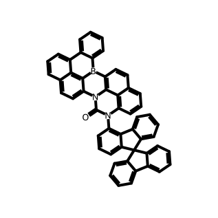 O=C1N(c2cccc3c2-c2ccccc2C32c3ccccc3-c3ccccc32)c2cccc3ccc4c(c23)N1c1ccc2cccc3c2c1B4c1ccccc1-3